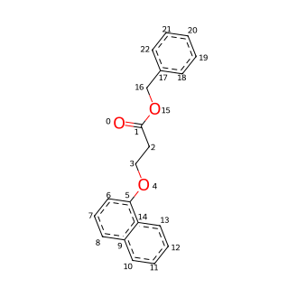 O=C(CCOc1cccc2ccccc12)OCc1ccccc1